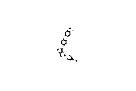 Cn1cnc2cc(Oc3ccc(Nc4ncnc5cnc(N6C[C@@H]7[C@@H](C#N)[C@@H]7C6)nc45)cc3Cl)ccc21